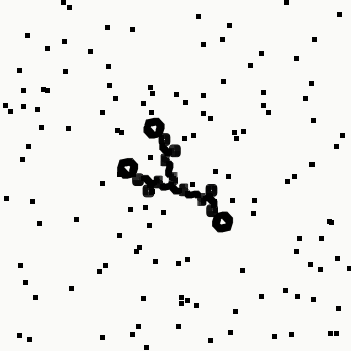 O=C(COc1ccccc1)SCCSCC(CSC(=O)COc1ccccc1)SCCSC(=O)COc1ccccc1